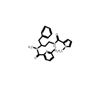 Cc1cccc(C(=O)N(C)C(CCNC(=O)c2cccn2C)Cc2ccccc2)n1